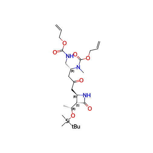 C=CCOC(=O)NC[C@@H](CC(=O)C[C@H]1NC(=O)[C@@H]1[C@@H](C)O[Si](C)(C)C(C)(C)C)N(C)C(=O)OCC=C